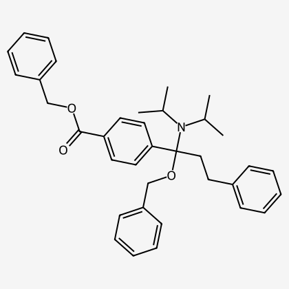 CC(C)N(C(C)C)C(CCc1ccccc1)(OCc1ccccc1)c1ccc(C(=O)OCc2ccccc2)cc1